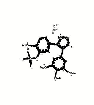 COc1ccc(-c2[nH]nnc2-c2cc(OC)c(OC)c(OC)c2)cc1SP(=O)([O-])[O-].[Na+].[Na+]